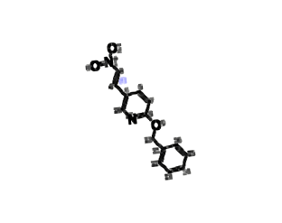 O=[N+]([O-])/C=C/c1ccc(OCc2ccccc2)nc1